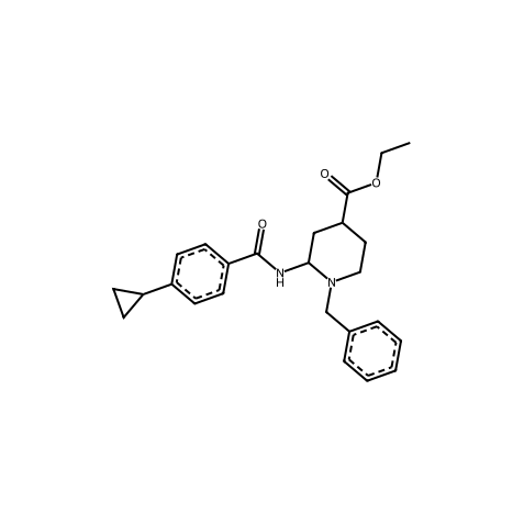 CCOC(=O)C1CCN(Cc2ccccc2)C(NC(=O)c2ccc(C3CC3)cc2)C1